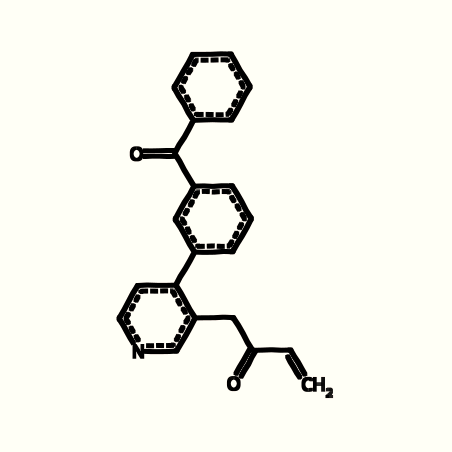 C=CC(=O)Cc1cnccc1-c1cccc(C(=O)c2ccccc2)c1